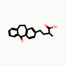 CC(CCc1ccc2c(c1)CCc1ccccc1C2=O)C(=O)O